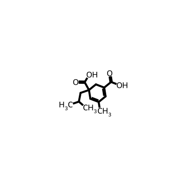 CC1=CC(CC(C)C)(C(=O)O)CC(C(=O)O)=C1